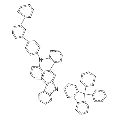 c1ccc(-c2cccc(-c3ccc(N(c4ccccc4)c4ccccc4-c4ccc5c6ccccc6n(-c6ccc7c(c6)-c6ccccc6C7(c6ccccc6)c6ccccc6)c5c4)cc3)c2)cc1